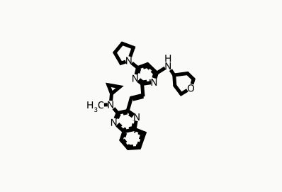 CN(c1nc2ccccc2nc1C=Cc1nc(NC2CCOCC2)cc(N2CCCC2)n1)C1CC1